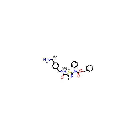 COc1ccccc1N(C(=O)OCc1ccccc1)c1nc(C)c(C(=O)NCc2ccc(C(N)C(C)=O)cc2)s1